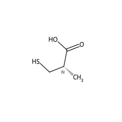 C[C@H](CS)C(=O)O